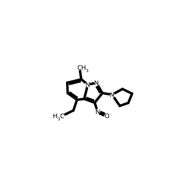 CCc1ccc(C)n2nc(N3CCCC3)c(N=O)c12